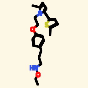 CCONCCCc1ccc(OCCn2c(C)ccc2-c2ccc(C)s2)cc1